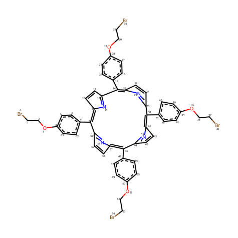 BrCCOc1ccc(C2=C3C=CC(=N3)C(c3ccc(OCCBr)cc3)=C3C=CC(=N3)C(c3ccc(OCCBr)cc3)=C3C=CC(=N3)C(c3ccc(OCCBr)cc3)=C3C=CC2=N3)cc1